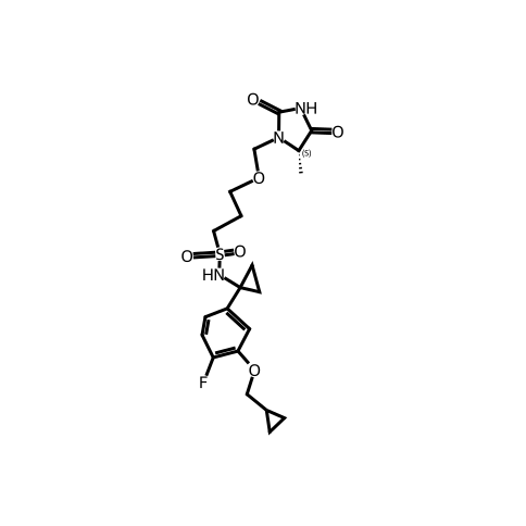 C[C@H]1C(=O)NC(=O)N1COCCCS(=O)(=O)NC1(c2ccc(F)c(OCC3CC3)c2)CC1